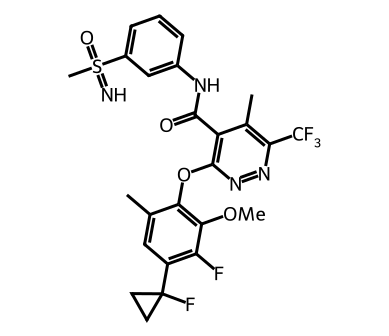 COc1c(F)c(C2(F)CC2)cc(C)c1Oc1nnc(C(F)(F)F)c(C)c1C(=O)Nc1cccc(S(C)(=N)=O)c1